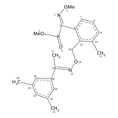 CO/N=C(/C(=O)OC)c1cccc(C)c1CO/N=C(\C)c1cc(C)cc(C)c1